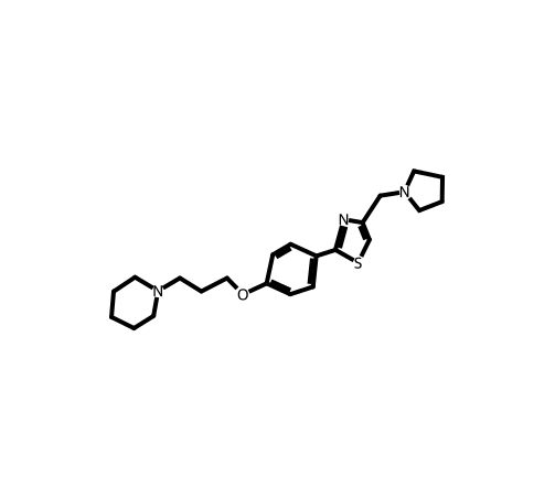 c1cc(-c2nc(CN3CCCC3)cs2)ccc1OCCCN1CCCCC1